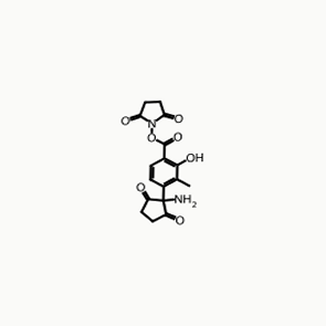 Cc1c(C2(N)C(=O)CCC2=O)ccc(C(=O)ON2C(=O)CCC2=O)c1O